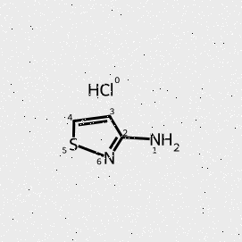 Cl.Nc1ccsn1